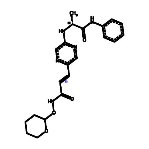 C[C@@H](Nc1cnc(/C=C/C(=O)NOC2CCCCO2)cn1)C(=O)Nc1ccccc1